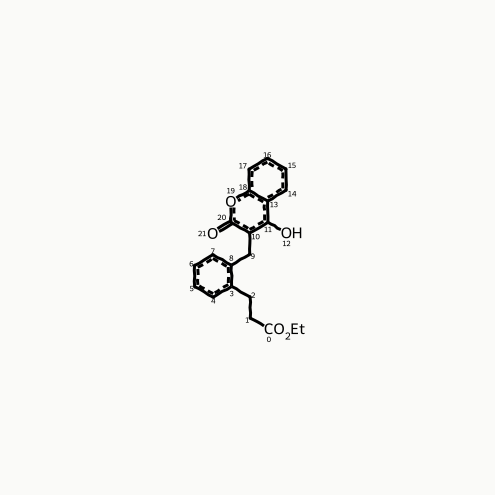 CCOC(=O)CCc1ccccc1Cc1c(O)c2ccccc2oc1=O